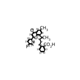 Cc1cc(C(C)CCCc2ccccc2C(=O)O)c2oc(-c3ccc(F)cn3)cc(=O)c2c1